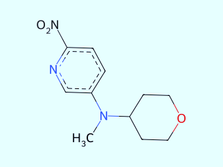 CN(c1ccc([N+](=O)[O-])nc1)C1CCOCC1